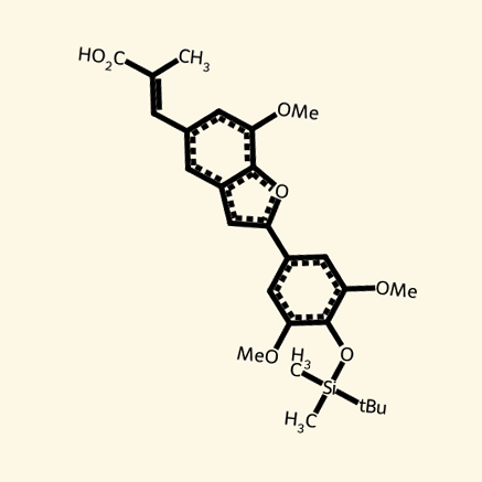 COc1cc(-c2cc3cc(C=C(C)C(=O)O)cc(OC)c3o2)cc(OC)c1O[Si](C)(C)C(C)(C)C